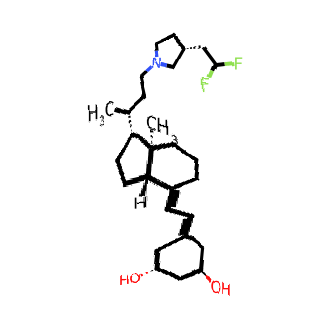 CC(CCN1CC[C@H](CC(F)F)C1)[C@H]1CC[C@H]2/C(=C/C=C3C[C@@H](O)C[C@H](O)C3)CCC[C@]12C